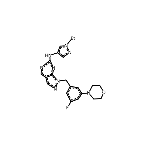 [CH2][CH]n1cc(Nc2ncc3cnn(Cc4cc(F)cc(N5CCOCC5)c4)c3n2)cn1